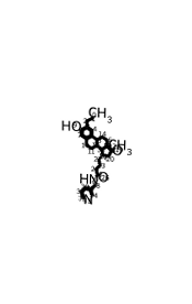 CCCc1cc2c(cc1O)CCC1C2CC[C@]2(C)C(=O)C[C@@H](CCCC(=O)NCc3cccnc3)C12